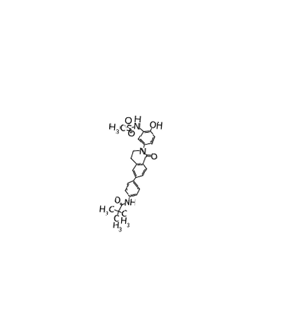 CC(C)(C)C(=O)Nc1ccc(-c2ccc3c(c2)CCN(c2ccc(O)c(NS(C)(=O)=O)c2)C3=O)cc1